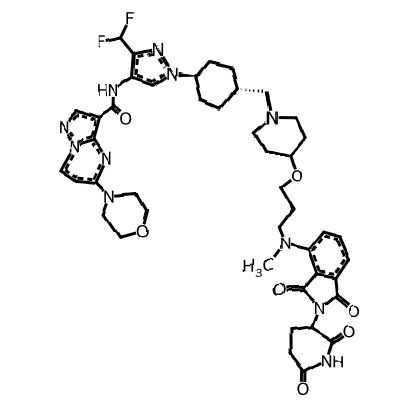 CN(CCCOC1CCN(C[C@H]2CC[C@H](n3cc(NC(=O)c4cnn5ccc(N6CCOCC6)nc45)c(C(F)F)n3)CC2)CC1)c1cccc2c1C(=O)N(C1CCC(=O)NC1=O)C2=O